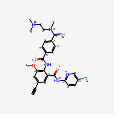 C#Cc1cc(OC)c(NC(=O)c2ccc(C(=N)N(C)CCN(C)C)cc2)c(C(=O)Nc2ccc(Cl)cn2)c1